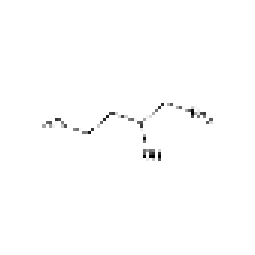 OCCC(O)CP